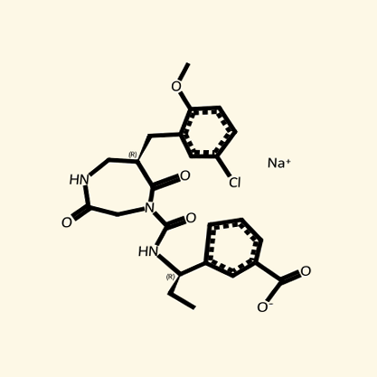 CC[C@@H](NC(=O)N1CC(=O)NC[C@@H](Cc2cc(Cl)ccc2OC)C1=O)c1cccc(C(=O)[O-])c1.[Na+]